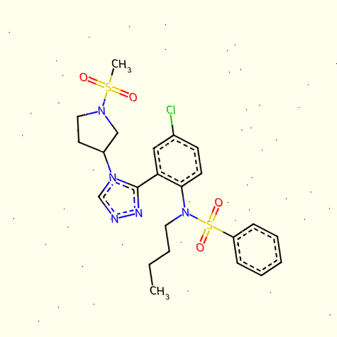 CCCCN(c1ccc(Cl)cc1-c1nncn1C1CCN(S(C)(=O)=O)C1)S(=O)(=O)c1ccccc1